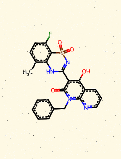 Cc1ccc(F)c2c1NC(c1c(O)c3cccnc3n(Cc3ccccc3)c1=O)=NS2(=O)=O